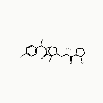 Cc1ccc([C@H](C)N2C(=O)[C@@H]3CC2CN3C[C@H](N)C(=O)N2CCC[C@H]2C#N)cc1